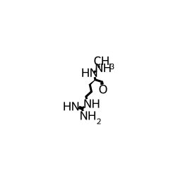 CNN[C@@H](C=O)CCCNC(=N)N